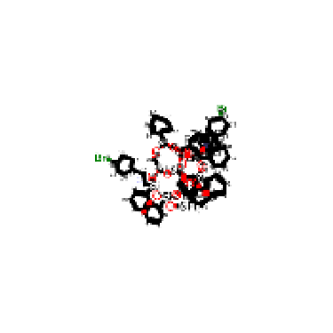 [SiH3]O[Si]1(c2ccccc2)O[Si](/C=C/c2ccc(Br)cc2)(c2ccccc2)O[SiH]2CO[Si]3(c4ccccc4)O[SiH](c4ccccc4)O[Si]4(c5ccccc5)O[Si](/C=C/c5ccc(Br)cc5)(c5ccccc5)O[Si](c5ccccc5)(O3)O[Si](c3ccccc3)(O2)O[Si](c2ccccc2)(O1)O4